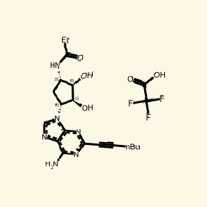 CCCCC#Cc1nc(N)c2ncn([C@@H]3C[C@H](NC(=O)CC)[C@@H](O)[C@H]3O)c2n1.O=C(O)C(F)(F)F